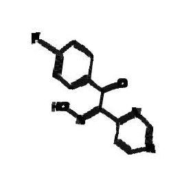 O=C(C(=NO)c1ccncn1)c1ccc(F)cc1